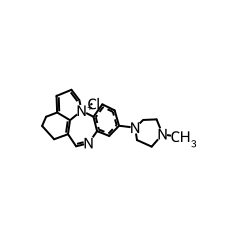 CN1CCN(c2ccc3c(c2)N=CC2=C4C(=CC=C[N+]43Cl)CCC2)CC1